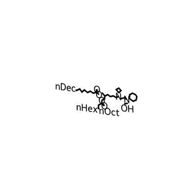 CCCCCCCCCCCCCCCCCC(=O)OCC(CCCCN(CCN(CCO)C1CCCCCC1)C1CCC1)COC(=O)CC(CCCCCC)CCCCCCCC